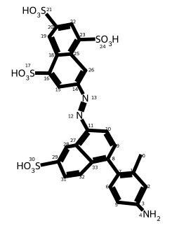 Cc1cc(N)ccc1-c1ccc(N=Nc2cc(S(=O)(=O)O)c3cc(S(=O)(=O)O)cc(S(=O)(=O)O)c3c2)c2cc(S(=O)(=O)O)ccc12